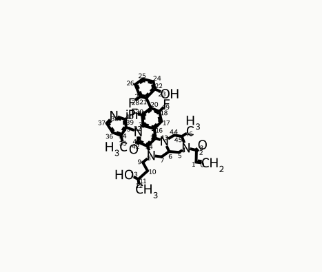 C=CC(=O)N1CC2CN(CCC(C)O)c3c(c4cc(F)c(-c5c(O)cccc5F)c(F)c4n(-c4c(C)ccnc4C(C)C)c3=O)N2CC1C